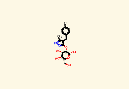 CCc1ccc(Cc2c(O[C@@H]3[C@@H](O)[C@H](O)[C@@H](CO)O[C@H]3O)n[nH]c2C(F)(F)F)cc1